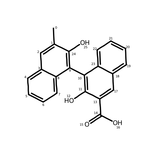 Cc1cc2ccccc2c(-c2c(O)c(C(=O)O)cc3ccccc23)c1O